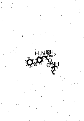 CCCC(C)(C)NC(=O)OC/C(=C(/N)c1ccc(OC2CCCCC2)cc1)N(C)N